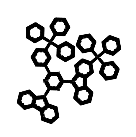 c1ccc(S(c2ccccc2)(c2ccccc2)c2cccc(-c3nc(-n4c5ccccc5c5ccccc54)nc(-n4c5ccccc5c5cc(S(c6ccccc6)(c6ccccc6)c6ccccc6)ccc54)n3)c2)cc1